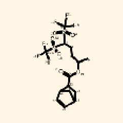 CC(CCC(S(=O)(=O)C(F)(F)F)S(=O)(=O)C(F)(F)F)OC(=O)C1CC2C=CC1C2